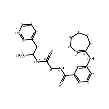 CCOC(=O)C(Cc1cccnc1)NC(=O)CNC(=O)c1cccc(NC2=NCCCCC2)c1